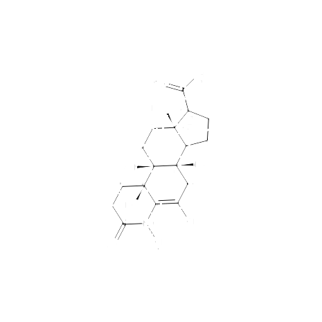 CC1=C2N(C)C(=O)CC[C@]2(C)[C@@H]2CC[C@]3(C)C(C(=O)O)CC[C@H]3[C@@H]2C1